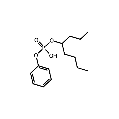 CCCCC(CCC)OP(=O)(O)Oc1ccccc1